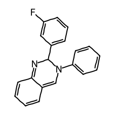 Fc1cccc(C2N=c3ccccc3=CN2c2ccccc2)c1